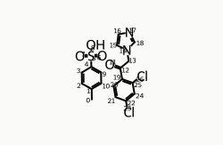 Cc1ccc(S(=O)(=O)O)cc1.O=C(Cn1ccnc1)c1ccc(Cl)cc1Cl